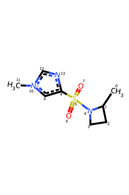 CC1CCN1S(=O)(=O)c1cn(C)cn1